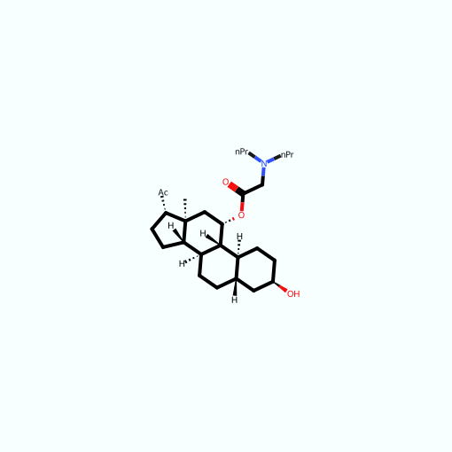 CCCN(CCC)CC(=O)O[C@H]1C[C@]2(C)[C@@H](C(C)=O)CC[C@H]2[C@@H]2CC[C@H]3C[C@H](O)CC[C@@H]3[C@H]21